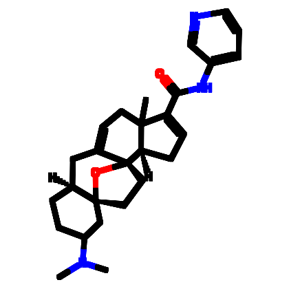 CN(C)C1CC[C@H]2CC3=CCC4(C)C(C(=O)Nc5cccnc5)=CC[C@H]4[C@@]34CC[C@]2(C1)O4